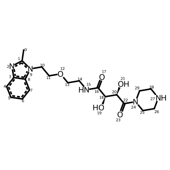 Cc1nc2ccccc2n1CCOCCNC(=O)[C@H](O)[C@@H](O)C(=O)N1CCNCC1